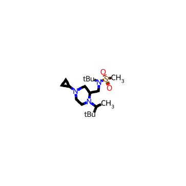 CC(N1CCN(C2CC2)CC1CN(C(C)(C)C)S(C)(=O)=O)C(C)(C)C